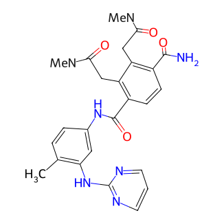 CNC(=O)Cc1c(C(N)=O)ccc(C(=O)Nc2ccc(C)c(Nc3ncccn3)c2)c1CC(=O)NC